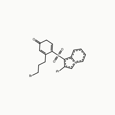 CC(C)c1cn2ccccc2c1S(=O)(=O)C1=CCC(=O)C=C1CCCBr